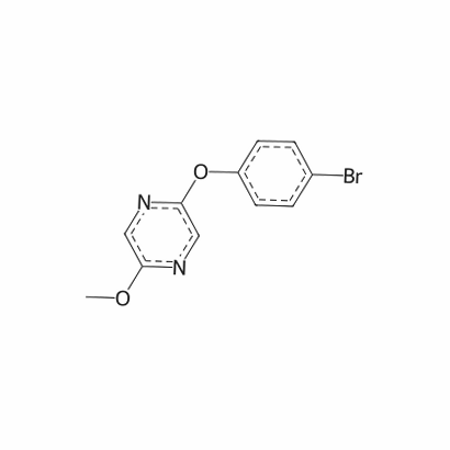 COc1cnc(Oc2ccc(Br)cc2)cn1